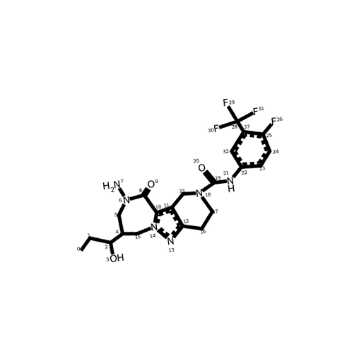 CCC(O)C1CN(N)C(=O)c2c3c(nn2C1)CCN(C(=O)Nc1ccc(F)c(C(F)(F)F)c1)C3